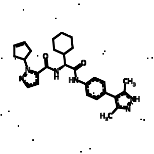 Cc1n[nH]c(C)c1-c1ccc(NC(=O)[C@@H](NC(=O)c2ccnn2C2CC=CC2)C2CCCCC2)cc1